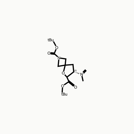 C=[N+](C)[C@H]1CC2(CN(C(=O)OC(C)(C)C)C2)OC1C(=O)OC(C)(C)C